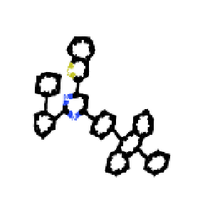 c1ccc(-c2ccccc2-c2nc(-c3ccc(-c4c5ccccc5c(-c5ccccc5)c5ccccc45)cc3)cc(-c3cc4ccccc4s3)n2)cc1